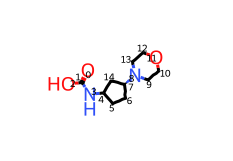 O=C(O)NC1CC[C@H](N2CCOCC2)C1